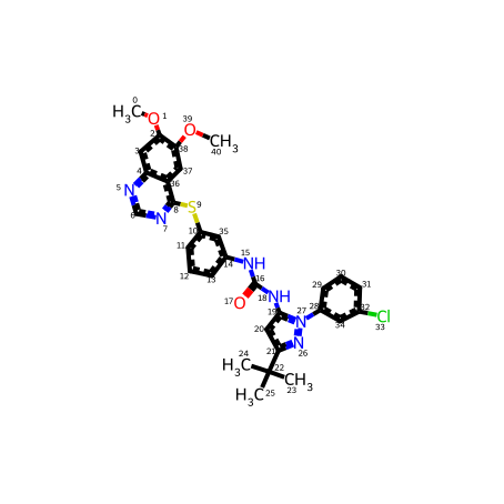 COc1cc2ncnc(Sc3cccc(NC(=O)Nc4cc(C(C)(C)C)nn4-c4cccc(Cl)c4)c3)c2cc1OC